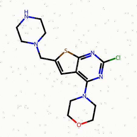 Clc1nc(N2CCOCC2)c2cc(CN3CCNCC3)sc2n1